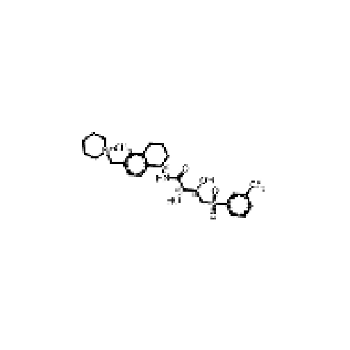 C[N+]1(Cc2ccc3c(c2)CCC[C@H]3NC(=O)[C@@H](O)[C@@H](O)CS(=O)(=O)c2cccc(C(F)(F)F)c2)CCCCC1